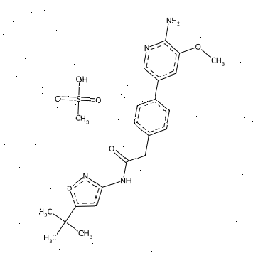 COc1cc(-c2ccc(CC(=O)Nc3cc(C(C)(C)C)on3)cc2)cnc1N.CS(=O)(=O)O